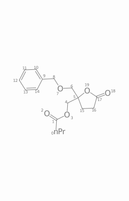 CCCC(=O)OCC1(COCc2ccccc2)CCC(=O)O1